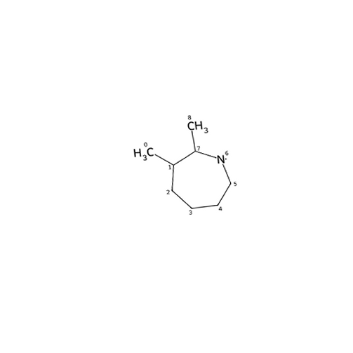 CC1CCCC[N]C1C